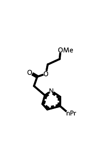 CCCc1ccc(CC(=O)OCCOC)nc1